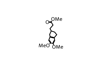 COC(=O)CCC1CCc2cc(OC)c(OC)cc2C1